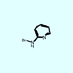 BrNc1ccccn1